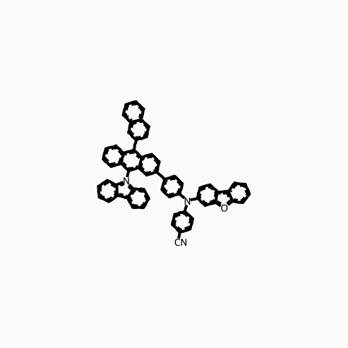 N#Cc1ccc(N(c2ccc(-c3ccc4c(-c5ccc6ccccc6c5)c5ccccc5c(-n5c6ccccc6c6ccccc65)c4c3)cc2)c2ccc3c(c2)oc2ccccc23)cc1